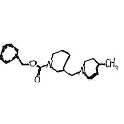 CC1CCN(CC2CCCN(C(=O)OCc3ccccc3)C2)CC1